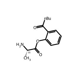 CCCCC(=O)c1ccccc1OC(=O)[C@H](C)N